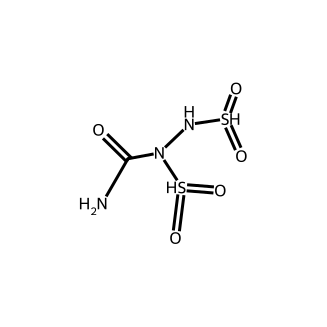 NC(=O)N(N[SH](=O)=O)[SH](=O)=O